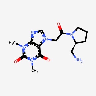 Cn1c(=O)c2c(ncn2CC(=O)N2CCC[C@H]2CN)n(C)c1=O